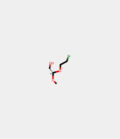 CO[C@H](CO)OCCBr